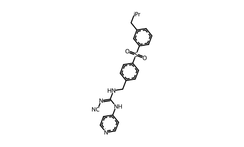 CC(C)Cc1cccc(S(=O)(=O)c2ccc(CNC(=NC#N)Nc3ccncc3)cc2)c1